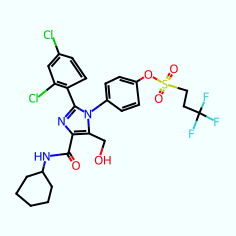 O=C(NC1CCCCC1)c1nc(-c2ccc(Cl)cc2Cl)n(-c2ccc(OS(=O)(=O)CCC(F)(F)F)cc2)c1CO